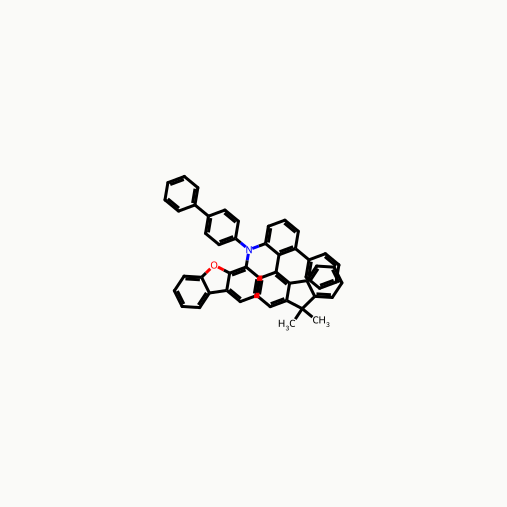 CC1(C)c2ccccc2-c2c(-c3c(-c4ccccc4)cccc3N(c3ccc(-c4ccccc4)cc3)c3cccc4c3oc3ccccc34)cccc21